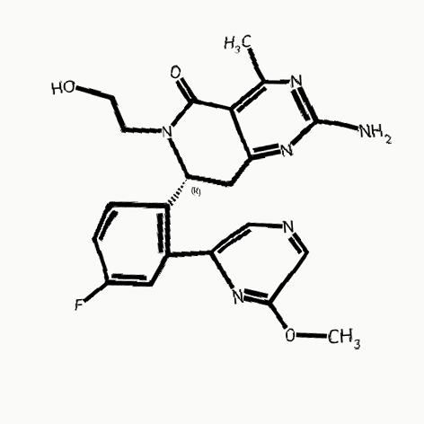 COc1cncc(-c2cc(F)ccc2[C@H]2Cc3nc(N)nc(C)c3C(=O)N2CCO)n1